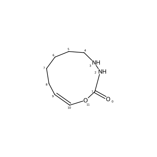 O=C1NNCCCCCC=CO1